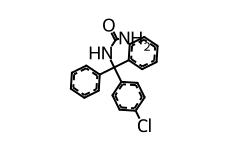 NC(=O)NC(c1ccccc1)(c1ccccc1)c1ccc(Cl)cc1